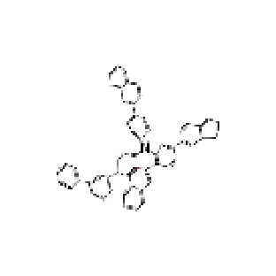 c1ccc(-c2cccc(-c3ccc(N(c4ccc(-c5ccc6ccccc6c5)cc4)c4cc(-c5ccc6ccccc6c5)ccc4-c4ccc5ccccc5c4)cc3)c2)cc1